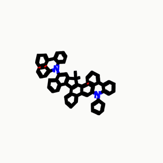 CC1(C)c2cc(N(c3ccccc3)c3ccccc3-c3ccccc3)c3ccccc3c2-c2c1c1ccc(N(c3ccccc3)c3ccccc3-c3ccccc3)cc1c1ccccc21